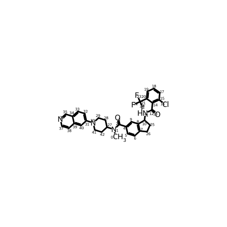 CN(C(=O)c1ccc2c(c1)C(NC(=O)c1c(Cl)cccc1C(F)(F)F)CC2)C1CCN(c2ccc3cnccc3c2)CC1